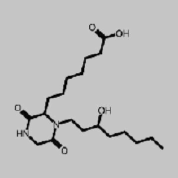 CCCCCC(O)CCN1C(=O)CNC(=O)C1CCCCCCC(=O)O